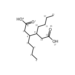 CCCCC(CC(=O)O)C(CCCC)CC(=O)O